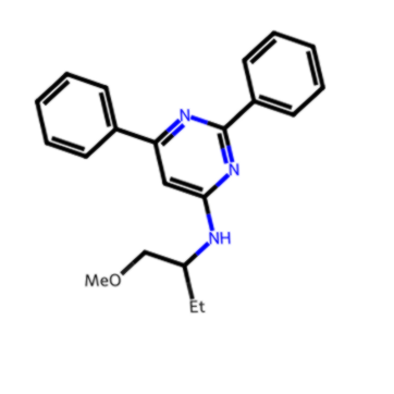 CCC(COC)Nc1cc(-c2ccccc2)nc(-c2ccccc2)n1